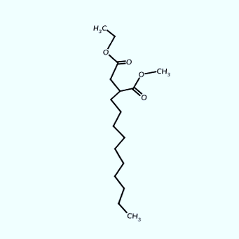 CCCCCCCCCCC(CC(=O)OCC)C(=O)OC